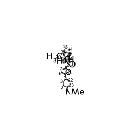 CNc1ccc(-c2ccc(C(=O)N[C@@H]3C4CCC(CC4)[C@@H]3C)o2)cc1